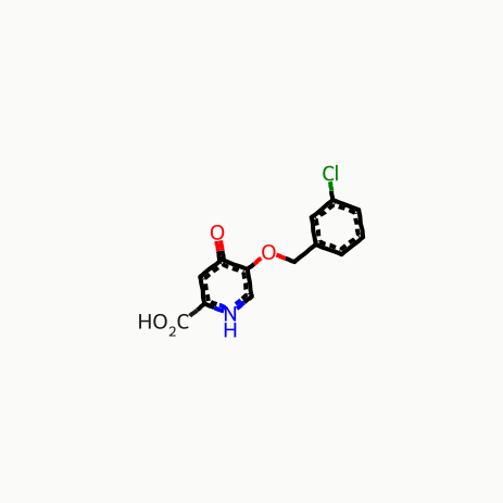 O=C(O)c1cc(=O)c(OCc2cccc(Cl)c2)c[nH]1